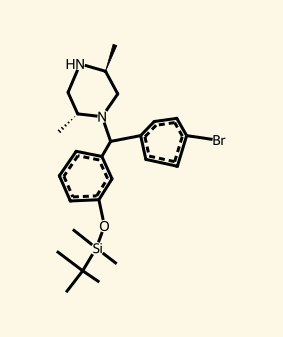 C[C@@H]1CN[C@@H](C)CN1C(c1ccc(Br)cc1)c1cccc(O[Si](C)(C)C(C)(C)C)c1